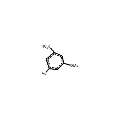 COc1cc(C(C)=O)cc(C(=O)O)c1